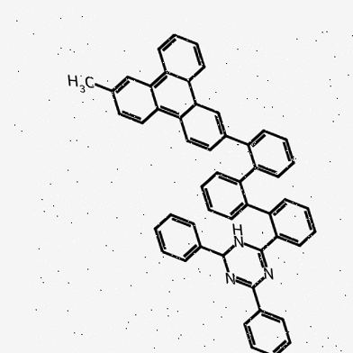 Cc1ccc2c(c1)=C1C=CC=CC1C1C=C(c3ccccc3-c3ccccc3-c3ccccc3C3=NC(c4ccccc4)=NC(c4ccccc4)N3)C=CC=21